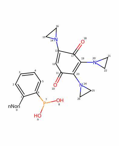 CCCCCCCCCc1ccccc1P(O)O.O=C1C=C(N2CC2)C(=O)C(N2CC2)=C1N1CC1